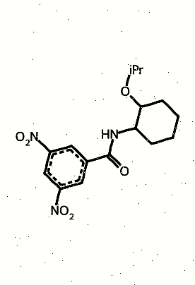 CC(C)OC1CCCCC1NC(=O)c1cc([N+](=O)[O-])cc([N+](=O)[O-])c1